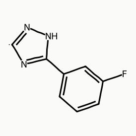 Fc1cccc(-c2n[c]n[nH]2)c1